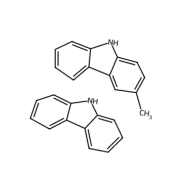 Cc1ccc2[nH]c3ccccc3c2c1.c1ccc2c(c1)[nH]c1ccccc12